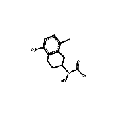 CCCN(C(=O)CC)C1CCc2c([N+](=O)[O-])ccc(Br)c2C1